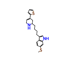 CSc1ccc2c(CCCCC3CC(c4cccs4)=CCN3)c[nH]c2c1